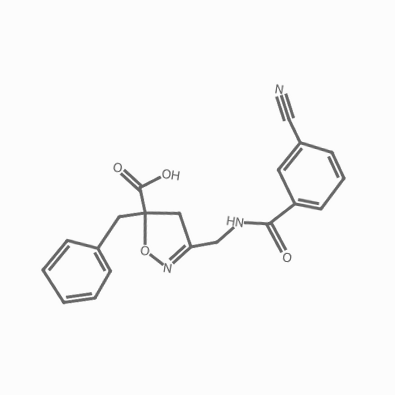 N#Cc1cccc(C(=O)NCC2=NOC(Cc3ccccc3)(C(=O)O)C2)c1